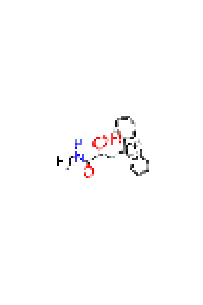 CNC(=O)[C@H](O)CC12CCC(c3ccccc31)c1ccccc12